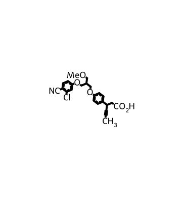 CC#CC(CC(=O)O)c1ccc(OCC(COC)COc2ccc(C#N)c(Cl)c2)cc1